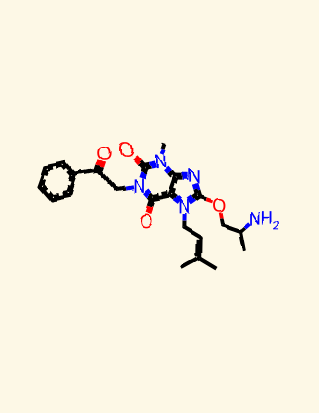 CC(C)=CCn1c(OCC(C)N)nc2c1c(=O)n(CC(=O)c1ccccc1)c(=O)n2C